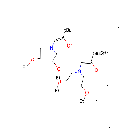 CCOCCN(/C=C(\[O-])C(C)(C)C)CCOCC.CCOCCN(/C=C(\[O-])C(C)(C)C)CCOCC.[Sr+2]